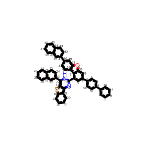 c1ccc(-c2ccc(-c3cc(C4N=c5c(sc6ccccc56)=C(c5ccc6ccccc6c5)N4)c4c(c3)oc3cc(-c5ccc6ccccc6c5)ccc34)cc2)cc1